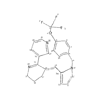 FC(F)(F)Oc1ccc(Cn2cccc2C=C2CCCN=C2c2cccnc2)cc1